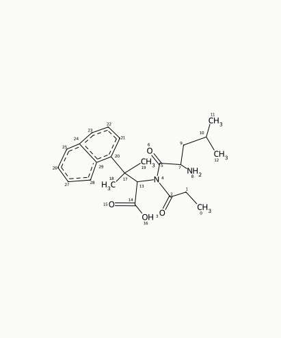 CCC(=O)N(C(=O)C(N)CC(C)C)C(C(=O)O)C(C)(C)c1cccc2ccccc12